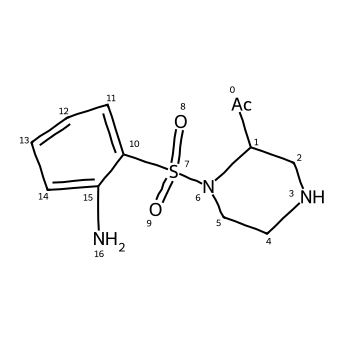 CC(=O)C1CNCCN1S(=O)(=O)c1ccccc1N